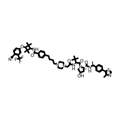 Cc1ncsc1-c1ccc([C@H](C)NC(=O)[C@@H]2C[C@@H](O)CN2C(=O)[C@@H](NC(=O)CN2CCN(CCCCc3ccc(C(=O)NC4C(C)(C)C(Oc5ccc(C#N)c(C(F)(F)F)c5)C4(C)C)cc3)CC2)C(C)(C)C)cc1